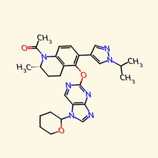 CC(=O)N1c2ccc(-c3cnn(C(C)C)c3)c(Oc3ncc4c(ncn4C4CCCCO4)n3)c2CC[C@@H]1C